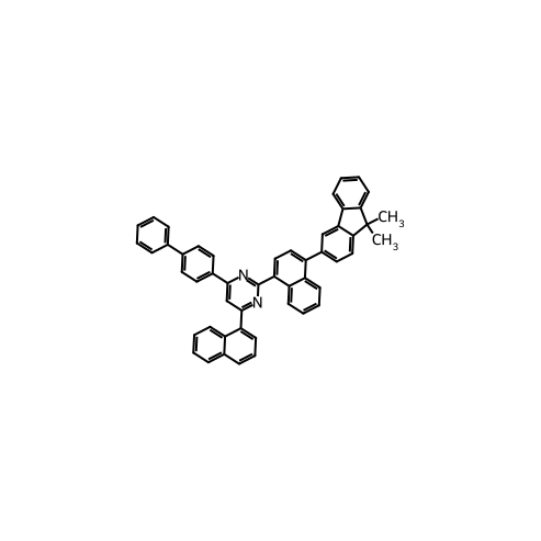 CC1(C)c2ccccc2-c2cc(-c3ccc(-c4nc(-c5ccc(-c6ccccc6)cc5)cc(-c5cccc6ccccc56)n4)c4ccccc34)ccc21